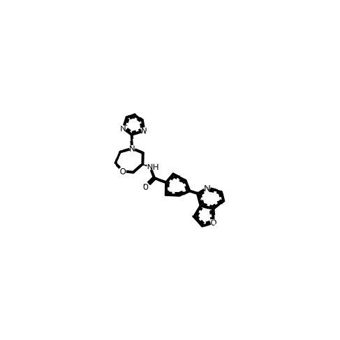 O=C(N[C@@H]1COCCN(c2ncccn2)C1)c1ccc(-c2nccc3occc23)cc1